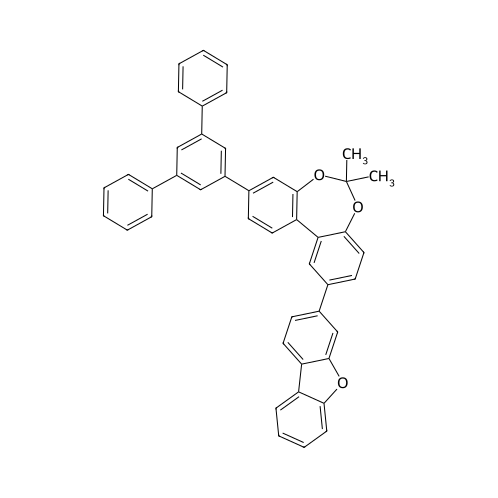 CC1(C)Oc2cc(-c3cc(-c4ccccc4)cc(-c4ccccc4)c3)ccc2-c2cc(-c3ccc4c(c3)oc3ccccc34)ccc2O1